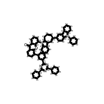 O=c1c2cccc(-c3cccc(-c4nc(-c5ccccc5)nc(-c5ccccc5)n4)c3)c2oc2c(-n3c4c(c5ccccc53)C=C(c3ccc5c(c3)c3ccccc3n5-c3ccccc3)C=CC4)cccc12